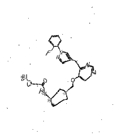 CC(C)(C)OC(=O)N[C@@H]1CC[C@H](COc2cncnc2-c2cnn(-c3ccccc3F)c2)C1